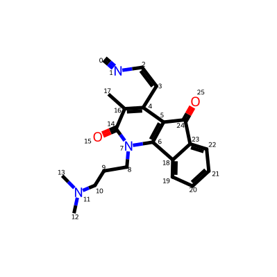 C=N/C=C\c1c2c(n(CCCN(C)C)c(=O)c1C)-c1ccccc1C2=O